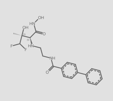 C[C@@](O)(C(F)F)[C@H](NCCNC(=O)c1ccc(-c2ccccc2)cc1)C(=O)NO